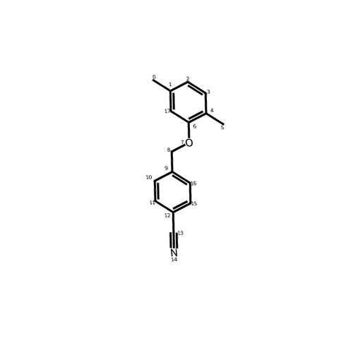 Cc1ccc(C)c(OCc2ccc(C#N)cc2)c1